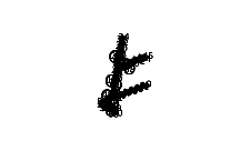 CCCCCCCCCCCCC(CCCOC(=O)CCCCC(COC(=O)CCCCCCC)COC(=O)CCCCCCC)OC(=O)[C@@H]1CCCN1C(=O)OC(C)(C)C